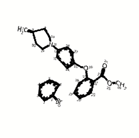 Brc1ccccc1.C=C1CCN(c2ccc(Oc3ccccc3C(=O)OC)cc2)CC1